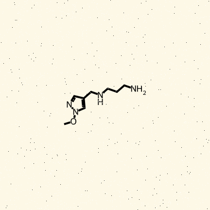 COn1cc(CNCCCN)cn1